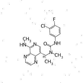 CNc1ncc([C@@H](C)N(C)C(=O)Nc2ccc(F)c(Cl)c2)c2nccnc12